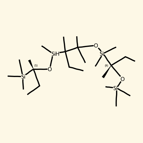 CCC(C)([SiH](C)O[C@](C)(CC)[Si](C)(C)C)C(C)(C)O[Si](C)(C)[C@](C)(CC)O[Si](C)(C)C